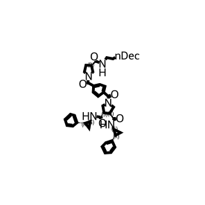 CCCCCCCCCCCCNC(=O)[C@@H]1CCN(C(=O)c2ccc(C(=O)N3C[C@@H](C(=O)N[C@H]4C[C@@H]4c4ccccc4)[C@H](C(=O)N[C@H]4C[C@@H]4c4ccccc4)C3)cc2)C1